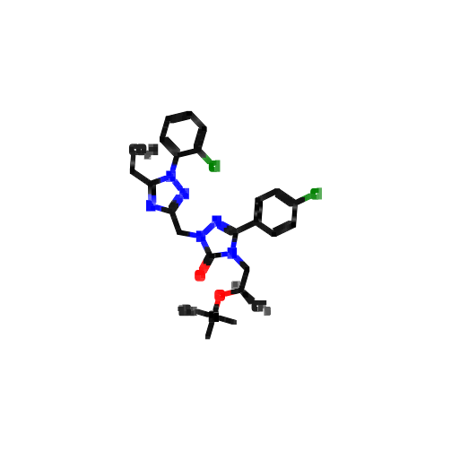 CC(C)(C)[Si](C)(C)O[C@@H](Cn1c(-c2ccc(Cl)cc2)nn(Cc2nc(CC(=O)O)n(-c3ccccc3Cl)n2)c1=O)C(F)(F)F